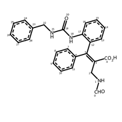 O=CNCC(C(=O)O)=C(c1ccccc1)c1ccccc1NC(=O)NCc1ccccc1